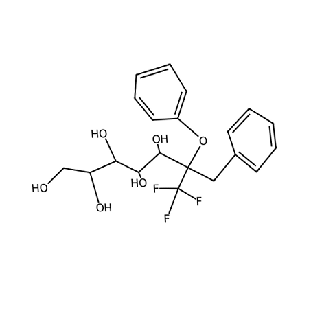 OCC(O)C(O)C(O)C(O)C(Cc1ccccc1)(Oc1ccccc1)C(F)(F)F